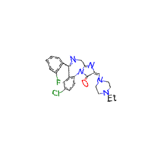 CCN1CCN(C=C2N=C3CN=C(c4ccccc4F)c4cc(Cl)ccc4N3C2=O)CC1